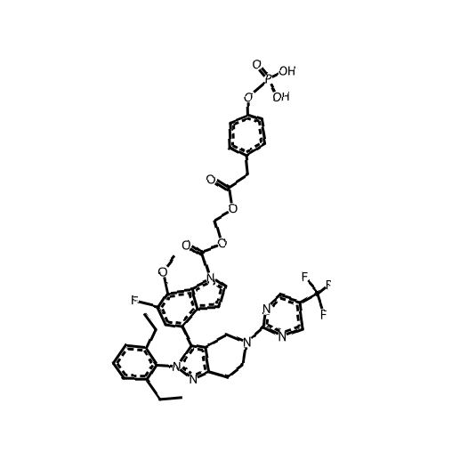 CCc1cccc(CC)c1-n1nc2c(c1-c1cc(F)c(OC)c3c1ccn3C(=O)OCOC(=O)Cc1ccc(OP(=O)(O)O)cc1)CN(c1ncc(C(F)(F)F)cn1)CC2